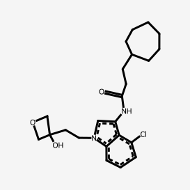 O=C(CCC1CCCCCC1)Nc1cn(CCC2(O)COC2)c2cccc(Cl)c12